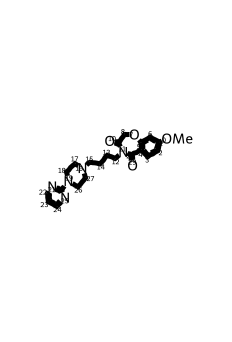 COc1ccc2c(c1)OCC(=O)N(CCCCN1CCN(c3ncccn3)CC1)C2=O